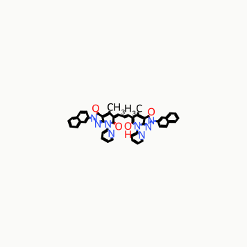 Cc1c(C=CC=c2c(C)c3c(n(-c4ccccn4)c2=O)=NN(c2ccc4ccccc4c2)C3=O)c(O)n(-c2ccccn2)c2nn(-c3ccc4ccccc4c3)c(=O)c1-2